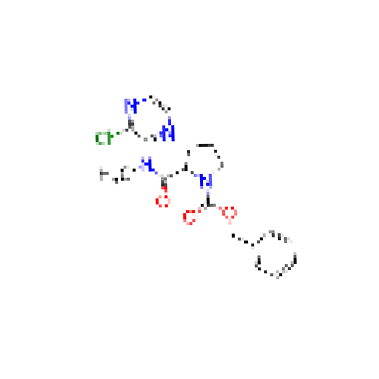 CN(C(=O)C1CCCN1C(=O)OCc1ccccc1)c1nccnc1Cl